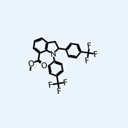 COC(=O)c1cccc2c1N(c1ccc(C(F)(F)F)cc1)C(c1ccc(C(F)(F)F)cc1)C2